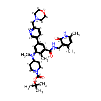 Cc1cc(C)c(CNC(=O)c2cc(-c3ccc(CN4CCOCC4)nc3)cc(N(C)C3CCN(C(=O)OC(C)(C)C)CC3)c2C)c(=O)[nH]1